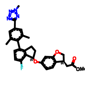 COC(=O)C[C@@H]1COc2cc(O[C@@H]3CCc4c(-c5c(C)cc(-c6nnn(C)n6)cc5C)ccc(F)c43)ccc21